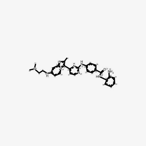 Cc1nc2cc(NCCN(C)C)ccn2c1-c1ccnc(Nc2ccc(C(=O)Nc3ccccc3N)cc2)n1